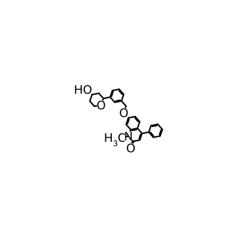 Cn1c(=O)cc(-c2ccccc2)c2ccc(OCc3cccc(C4CC(O)CCO4)c3)cc21